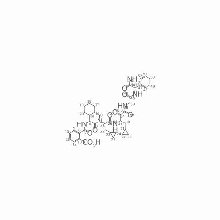 CN(C(=O)[C@@H](NC(=O)c1ccccc1C(=O)O)C1CCCCC1)[C@@H](CC1CC1)C(=O)NC(CC1CC1)C(=O)C(=O)NCC(=O)N[C@H](C(N)=O)c1ccccc1